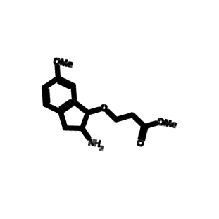 COC(=O)CCOC1c2cc(OC)ccc2CC1N